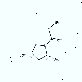 CC[C@H]1C[C@@H](C(C)=O)N(C(=O)OC(C)(C)C)C1